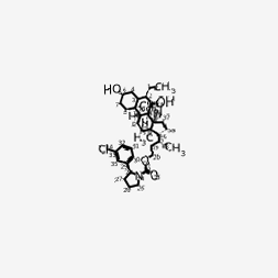 CC[C@@H]1C2C[C@H](O)CC[C@]2(C)[C@H]2CC[C@]3(C)[C@@H]([C@H](C)CCOC(=O)N4CCCC4c4cccc(Cl)c4)CC[C@H]3[C@@H]2[C@@H]1O